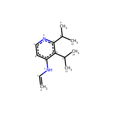 C=CNc1ccnc(C(C)C)c1C(C)C